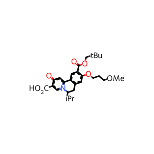 COCCCOc1cc2c(cc1C(=O)OCC(C)(C)C)-c1cc(=O)c(C(=O)O)cn1C(C(C)C)C2